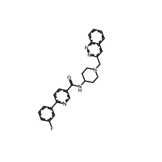 O=C(NC1CCN(Cc2cc3ccccc3nn2)CC1)c1ccc(-c2cccc(F)c2)nc1